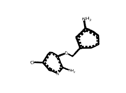 Nc1cccc(COc2cc(Cl)cnc2N)c1